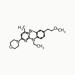 CCN(c1nc(C)cc(N2CCOCC2)n1)c1ccc(CCOC)cc1Br